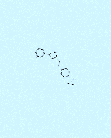 CS(=O)(=O)Nc1ccc(CCc2cc(-c3ccccc3)[nH]n2)cc1